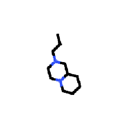 C[CH]CN1CCN2CCCCC2C1